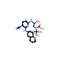 CC(CN(C(=O)O)C(C)(C)C)Nc1nc(Nc2ccc3ncccc3c2)c(C#N)cc1F